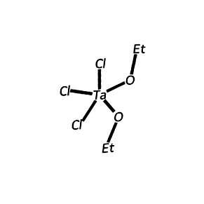 CC[O][Ta]([Cl])([Cl])([Cl])[O]CC